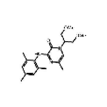 COCC(COC)n1cc(C)nc(Nc2c(C)cc(C)cc2C)c1=O